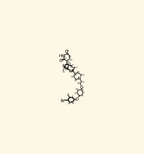 Cc1cc(OC2CCC(OCCN3CCN(c4ccc5c(C6CCC(=O)NC6=O)nn(C)c5n4)CC3)CC2)ccc1Br